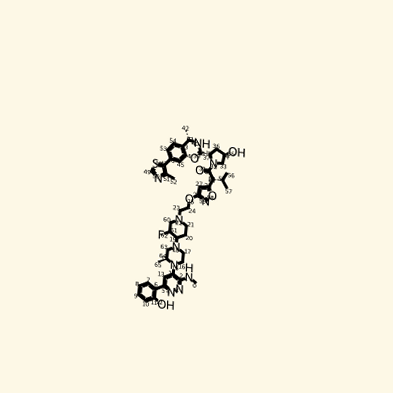 CNc1nnc(-c2ccccc2O)cc1N1CCN(C2CCN(CCOc3cc([C@H](C(=O)N4C[C@H](O)C[C@H]4C(=O)N[C@@H](C)c4ccc(-c5scnc5C)cc4)C(C)C)on3)CC2F)C[C@@H]1C